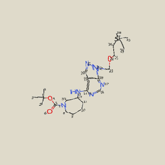 CC(C)(C)OC(=O)N1CCCCC(Nc2ncnc3c2cnn3COCC[Si](C)(C)C)C1